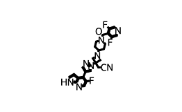 N#CCC1(n2cc(-c3c(F)cnc4[nH]ccc34)cn2)CN(C2CCN(C(=O)c3c(F)cncc3F)CC2)C1